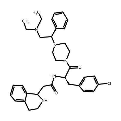 CCN(CC)CC(c1ccccc1)N1CCN(C(=O)[C@@H](Cc2ccc(Cl)cc2)NC(=O)CC2NCCc3ccccc32)CC1